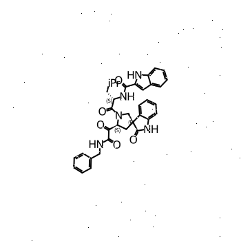 CC(C)C[C@H](NC(=O)c1cc2ccccc2[nH]1)C(=O)N1C[C@]2(C[C@H]1C(=O)C(=O)NCc1ccccc1)C(=O)Nc1ccccc12